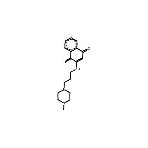 CN1CCN(CCCNC2=CC(=O)c3nccnc3C2=O)CC1